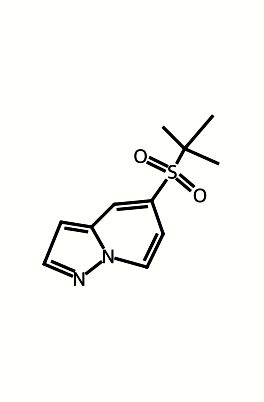 CC(C)(C)S(=O)(=O)c1ccn2nccc2c1